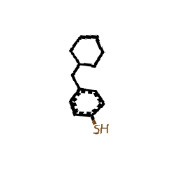 Sc1ccc(CC2CCCCC2)cc1